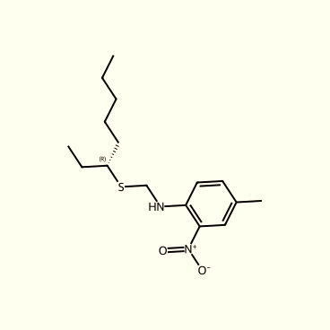 CCCCC[C@@H](CC)SCNc1ccc(C)cc1[N+](=O)[O-]